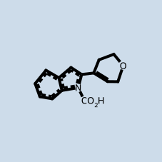 O=C(O)n1c(C2=CCOCC2)cc2ccccc21